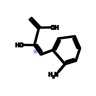 C=C(O)/C(O)=C\c1ccccc1N